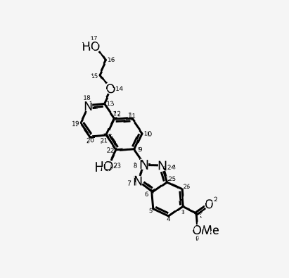 COC(=O)c1ccc2nn(-c3ccc4c(OCCO)nccc4c3O)nc2c1